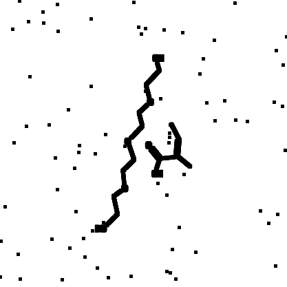 CC=C(C)C(=O)O.OCCOCCOCCOCCO